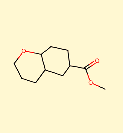 COC(=O)C1CCC2OCCCC2C1